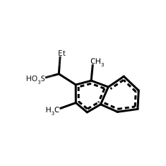 CCC(c1c(C)cc2ccccc2c1C)S(=O)(=O)O